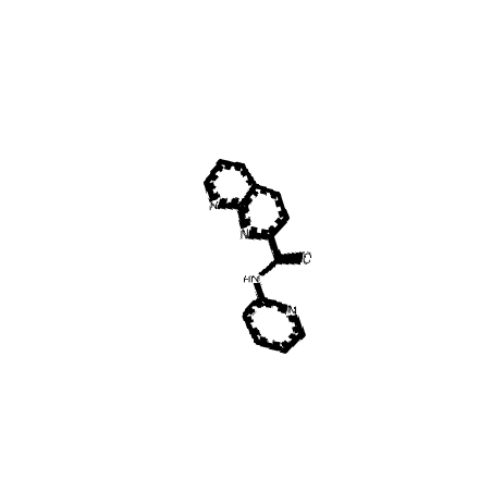 O=C(Nc1ccccn1)c1ccc2cccnc2n1